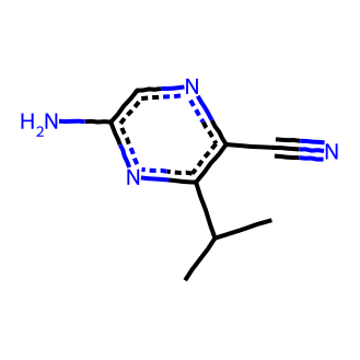 CC(C)c1nc(N)cnc1C#N